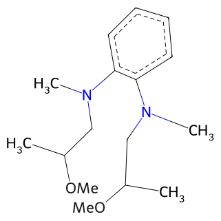 COC(C)CN(C)c1ccccc1N(C)CC(C)OC